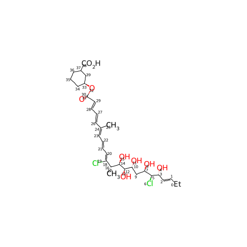 CC/C=C/[C@@H](O)[C@@H](Cl)[C@H](O)C[C@@H](O)[C@@H](O)[C@H](O)[C@H](C)/C(Cl)=C/C=C/C=C(C)/C=C/C=C/C(=O)O[C@H]1CCCC(C(=O)O)C1